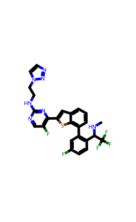 CNC(c1ccc(F)cc1-c1cccc2cc(-c3nc(NCCn4ccnn4)ncc3F)sc12)C(F)(F)F